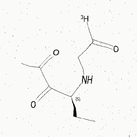 [3H]C(=O)CN[C@@H](CC)C(=O)C(C)=O